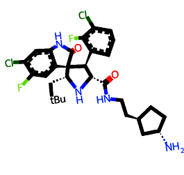 CC(C)(C)C[C@H]1N[C@@H](C(=O)NCC[C@H]2CC[C@H](N)C2)[C@H](c2cccc(Cl)c2F)[C@@]12C(=O)Nc1cc(Cl)c(F)cc12